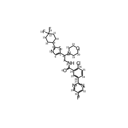 O=C(NCC(c1cnc(C2CCC(F)(F)CC2)s1)N1CCOCC1)c1cc(-c2ncc(F)cn2)ccc1Cl